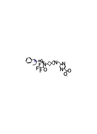 CC/C(=C\c1ccccc1)[C@@H]1C[C@H]1N(C(=O)C(F)(F)F)C1CC2(C1)CN(Cc1cnc(C(=O)OC)cn1)C2